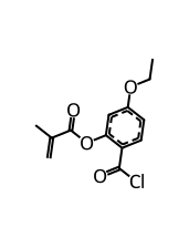 C=C(C)C(=O)Oc1cc(OCC)ccc1C(=O)Cl